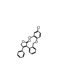 O=C1OCC(c2ccccc2)=C1c1ccccc1COc1ccc(Cl)cc1Cl